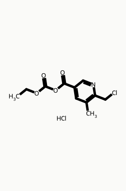 CCOC(=O)OC(=O)c1cnc(CCl)c(C)c1.Cl